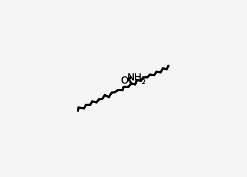 CCCCCCCCCCCCCCCCCC(CCCCCCCCCCCC)C(N)=O